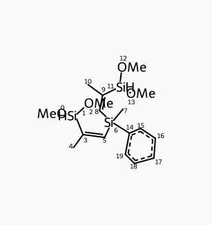 CO[SiH](OC)C(C)=C[Si](C)(C=C(C)[SiH](OC)OC)c1ccccc1